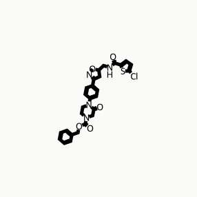 O=C(NCC1CC(c2ccc(N3CCN(C(=O)OCc4ccccc4)CC3=O)cc2)=NO1)c1ccc(Cl)s1